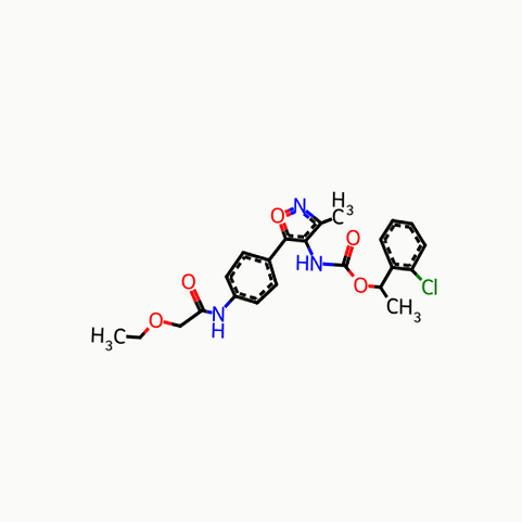 CCOCC(=O)Nc1ccc(-c2onc(C)c2NC(=O)OC(C)c2ccccc2Cl)cc1